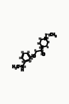 CCN1CCN(C(=O)COc2cccc(NC)c2)CC1